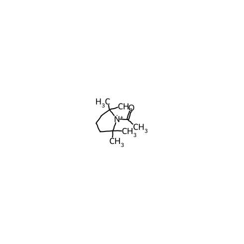 CC(=O)[N+]1C(C)(C)CCCC1(C)C